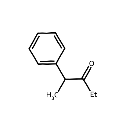 CCC(=O)C(C)c1ccccc1